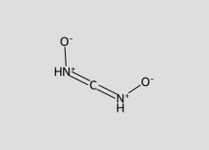 [O-][NH+]=C=[NH+][O-]